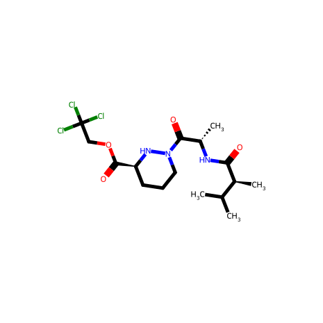 CC(C)[C@H](C)C(=O)N[C@@H](C)C(=O)N1CCC[C@@H](C(=O)OCC(Cl)(Cl)Cl)N1